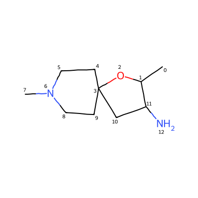 CC1OC2(CCN(C)CC2)CC1N